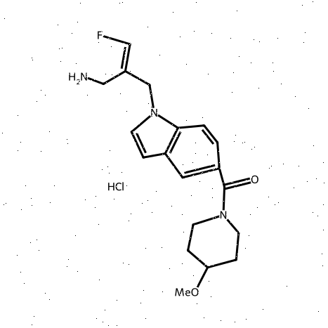 COC1CCN(C(=O)c2ccc3c(ccn3CC(=CF)CN)c2)CC1.Cl